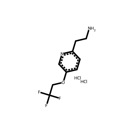 Cl.Cl.NCCc1ccc(OCC(F)(F)F)cn1